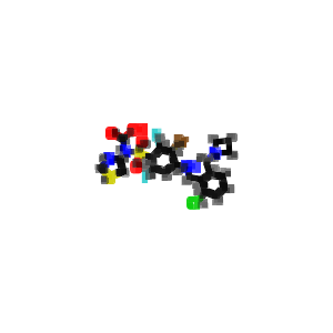 O=C(O)N(c1cscn1)S(=O)(=O)c1c(F)cc(NCc2c(Cl)cccc2CN2CCC2)c(Br)c1F